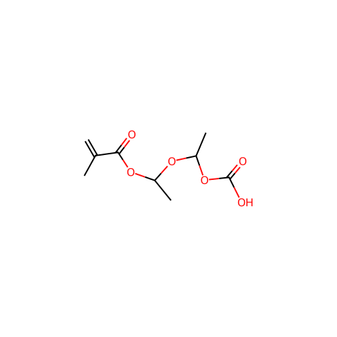 C=C(C)C(=O)OC(C)OC(C)OC(=O)O